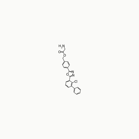 NCC(=O)OCc1ccc(-c2nnc(-c3cccc(-c4ccccc4)c3Cl)o2)cc1